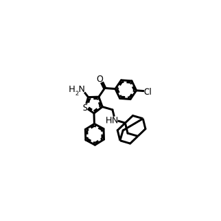 Nc1sc(-c2ccccc2)c(CNC23CC4CC(CC(C4)C2)C3)c1C(=O)c1ccc(Cl)cc1